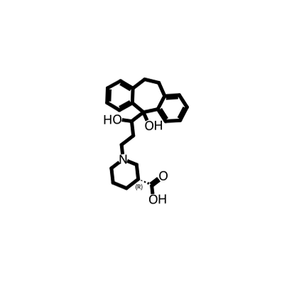 O=C(O)[C@@H]1CCCN(CCC(O)C2(O)c3ccccc3CCc3ccccc32)C1